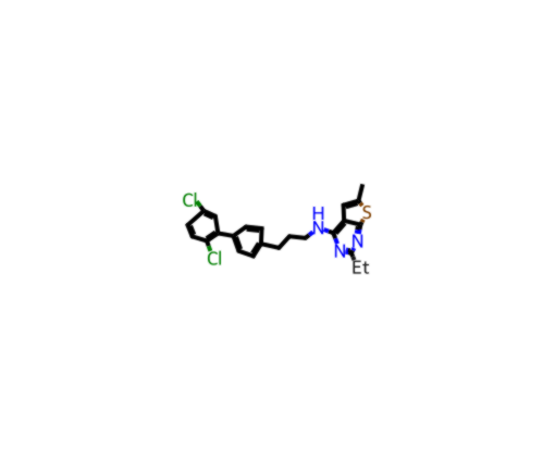 CCc1nc(NCCCc2ccc(-c3cc(Cl)ccc3Cl)cc2)c2cc(C)sc2n1